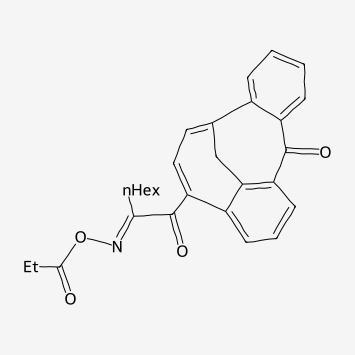 CCCCCC/C(=N\OC(=O)CC)C(=O)C1=CC=C2Cc3c(cccc31)C(=O)c1ccccc12